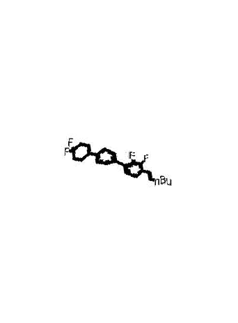 CCCCC=Cc1ccc(-c2ccc(C3CCC(F)(F)CC3)cc2)c(F)c1F